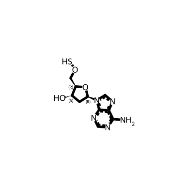 Nc1ncnc2c1ncn2[C@H]1C[C@H](O)[C@@H](COS)O1